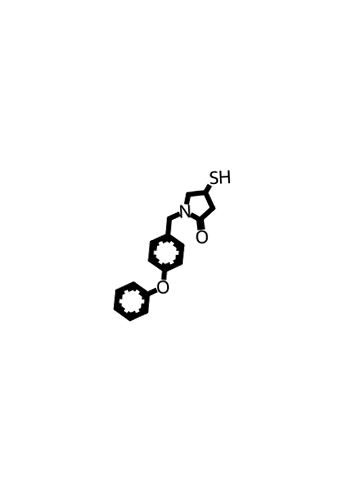 O=C1CC(S)CN1Cc1ccc(Oc2ccccc2)cc1